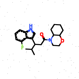 CC(C)C(CC(=O)N1CCOC2CCCCC21)c1c[nH]c2cccc(F)c12